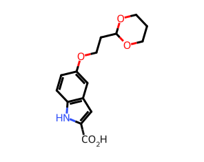 O=C(O)c1cc2cc(OCCC3OCCCO3)ccc2[nH]1